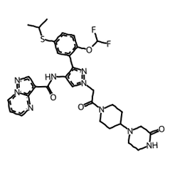 CC(C)Sc1ccc(OC(F)F)c(-c2nn(CC(=O)N3CCC(N4CCNC(=O)C4)CC3)cc2NC(=O)c2cnn3cccnc23)c1